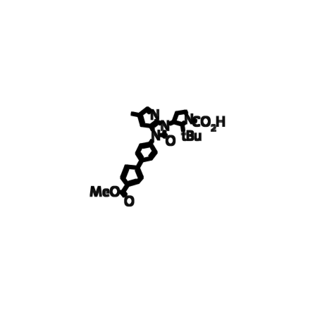 COC(=O)c1ccc(-c2ccc(-n3c(=O)n(C4CCN(C(=O)O)C4C(C)(C)C)c4ncc(C)cc43)cc2)cc1